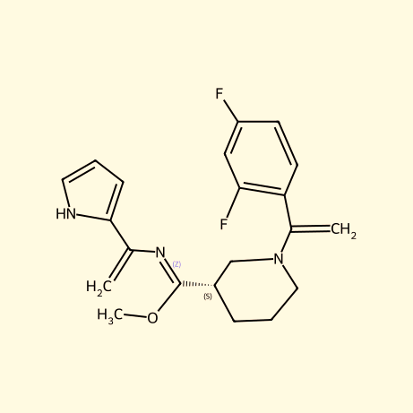 C=C(/N=C(\OC)[C@H]1CCCN(C(=C)c2ccc(F)cc2F)C1)c1ccc[nH]1